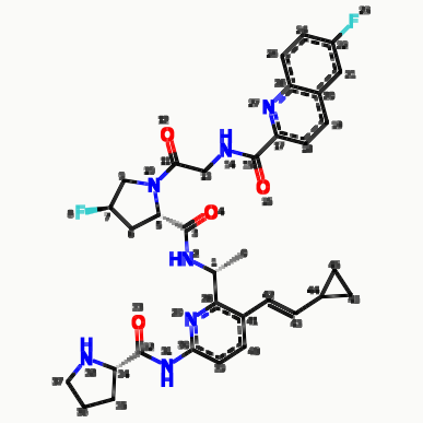 C[C@@H](NC(=O)[C@@H]1C[C@@H](F)CN1C(=O)CNC(=O)c1ccc2cc(F)ccc2n1)c1nc(NC(=O)[C@@H]2CCCN2)ccc1/C=C/C1CC1